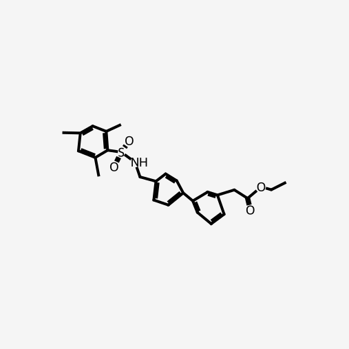 CCOC(=O)Cc1cccc(-c2ccc(CNS(=O)(=O)c3c(C)cc(C)cc3C)cc2)c1